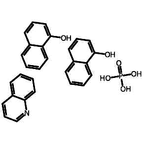 O=P(O)(O)O.Oc1cccc2ccccc12.Oc1cccc2ccccc12.c1ccc2ncccc2c1